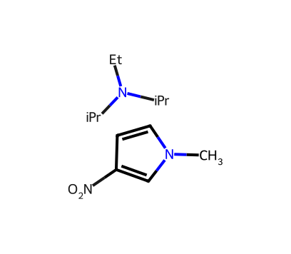 CCN(C(C)C)C(C)C.Cn1ccc([N+](=O)[O-])c1